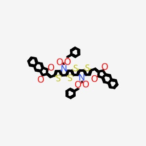 O=C1C(=Cc2cc3c(s2)c2sc4c(sc5c6sc(C=C7C(=O)c8cc9ccccc9cc8C7=O)cc6n(C(=O)OCc6ccccc6)c54)c2n3C(=O)OCc2ccccc2)C(=O)c2cc3ccccc3cc21